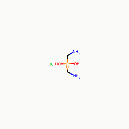 Cl.NC[PH](O)(O)CN